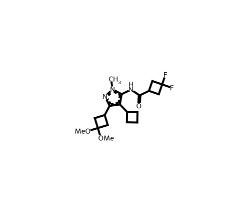 COC1(OC)CC(c2nn(C)c(NC(=O)C3CC(F)(F)C3)c2C2CCC2)C1